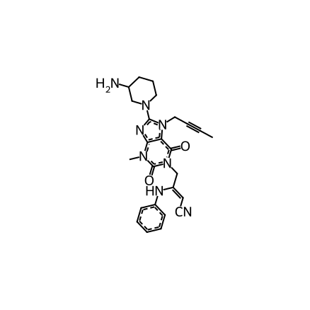 CC#CCn1c(N2CCCC(N)C2)nc2c1c(=O)n(CC(=CC#N)Nc1ccccc1)c(=O)n2C